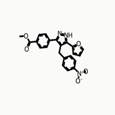 COC(=O)c1ccc(-c2n[nH]c(-c3ccco3)c2Cc2ccc([N+](=O)[O-])cc2)cc1